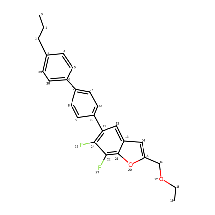 CCCc1ccc(-c2ccc(-c3cc4cc(COCC)oc4c(F)c3F)cc2)cc1